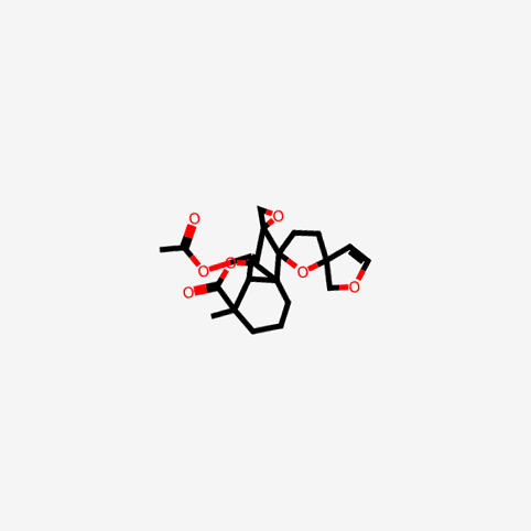 CC(=O)OC1CC2(CO2)C2(CCC3(C=COC3)O2)C23CCCC(C)(C(=O)OC2)C13